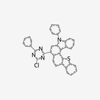 Clc1nc(-c2ccccc2)nc(-c2cc3c(c4ccccc4n3-c3ccccc3)c3c2ccc2c4ccccc4sc23)n1